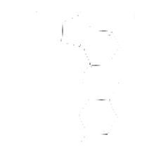 Cc1cc(Cc2ccc(F)cc2)c(=O)n2nc(C(=O)O)oc12